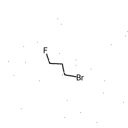 FCC[CH]Br